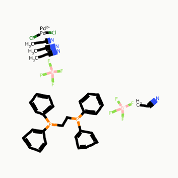 CC#N.CC#N.CC#N.CC#N.F[B-](F)(F)F.F[B-](F)(F)F.[Cl][Pd][Cl].[Pd+2].c1ccc(P(CCP(c2ccccc2)c2ccccc2)c2ccccc2)cc1